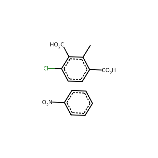 Cc1c(C(=O)O)ccc(Cl)c1C(=O)O.O=[N+]([O-])c1ccccc1